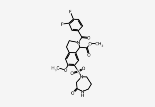 COC(=O)C1c2cc(S(=O)(=O)N3CCCNC(=O)C3)c(OC)cc2CCN1C(=O)c1ccc(F)c(F)c1